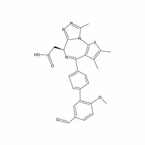 COc1ccc(C=O)cc1-c1ccc(C2=N[C@@H](CC(=O)O)c3nnc(C)n3-c3sc(C)c(C)c32)cc1